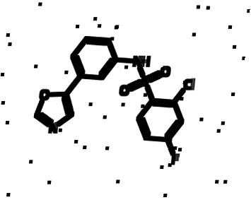 O=S(=O)(Nc1cccc(-c2cnco2)c1)c1ccc(F)cc1Cl